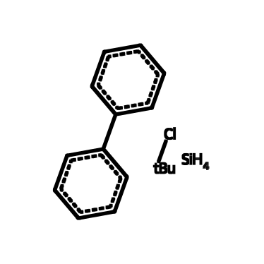 CC(C)(C)Cl.[SiH4].c1ccc(-c2ccccc2)cc1